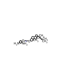 CC(C)CCCC(C)C1CCC2C3CCC4CC(OC/C=C/COc5ccc(N)cc5N)CCC4(C)C3CCC12C